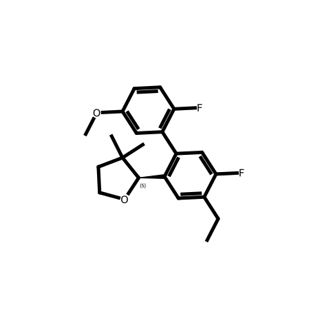 CCc1cc([C@H]2OCCC2(C)C)c(-c2cc(OC)ccc2F)cc1F